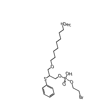 CCCCCCCCCCCCCCCCCCOCC(COP(=O)(O)OCCBr)Sc1ccccc1